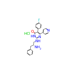 Cl.N[C@@H](CNc1nc(-c2ccncc2)c(-c2ccc(F)cc2)c(=O)[nH]1)Cc1ccccc1